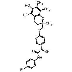 Cc1c(C)c2c(c(C)c1O)CCC(C)(COc1ccc(N(S)C(=O)Nc3ccc(C(C)C)cc3)cc1)O2